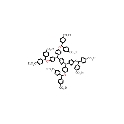 CCOC(=O)c1ccc(C(Oc2ccc(C(c3ccc(OC(c4ccc(C(=O)OCC)cc4)c4ccc(C(=O)OCC)cc4)cc3)c3ccc(C(c4ccc(OC(c5ccc(C(=O)OCC)cc5)c5ccc(C(=O)OCC)cc5)cc4)c4ccc(OC(c5ccc(C(=O)OCC)cc5)c5ccc(C(=O)OCC)cc5)cc4)cc3)cc2)c2ccc(C(=O)OCC)cc2)cc1